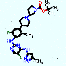 Cc1cc(Nc2nc(Nc3cc(C)c(C4CCN(C5CCN(C(=O)OC(C)(C)C)C5)CC4)cc3F)ncc2Cl)n[nH]1